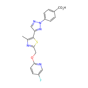 Cc1nc(COc2ccc(F)cn2)sc1-c1cnn(-c2ccc(C(=O)O)cc2)n1